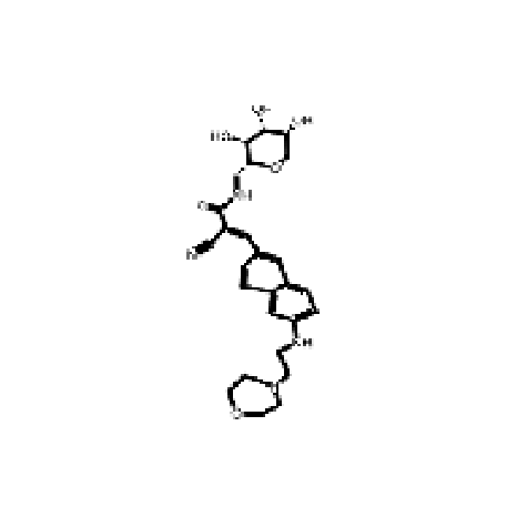 N#C/C(=C\c1ccc2cc(NCCN3CCOCC3)ccc2c1)C(=O)NC[C@H]1OC[C@H](O)[C@@H](O)[C@@H]1O